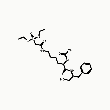 CCOP(=O)(CC(=O)NCCCCC(NC(=O)O)C(=O)NC(CO)Cc1ccccc1)OCC